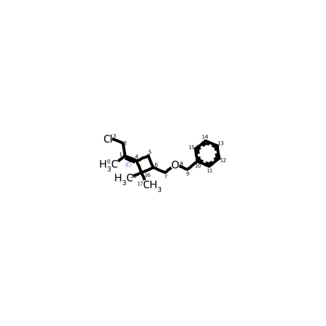 C/C(CCl)=C1/CC(COCc2ccccc2)C1(C)C